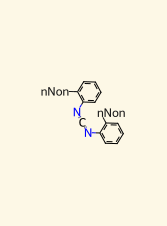 CCCCCCCCCc1ccccc1N=C=Nc1ccccc1CCCCCCCCC